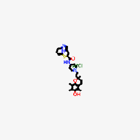 Cc1c(C)c2c(c(C)c1O)CCC(C)(CCN1CCC(NC(=O)C3=Cc4cnc5cccc(n45)S3)CC1)O2.Cl.Cl